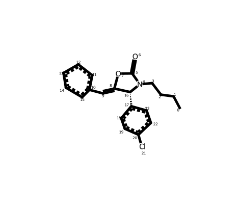 CCCCN1C(=O)O/C(=C\c2ccccc2)[C@H]1c1ccc(Cl)cc1